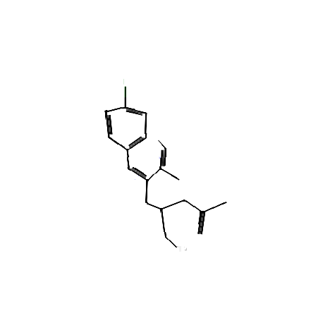 C=C(C)CC(CC(=C/c1ccc(F)cc1)/C(C)=C\C)CC(C)CC